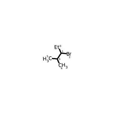 [CH2]CC(Br)C(C)C